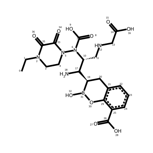 CCN1CCN(N(C(=O)O)[C@H](CNCC(=O)O)C(N)[C@H]2Cc3cccc(C(=O)O)c3OB2O)C(=O)C1=O